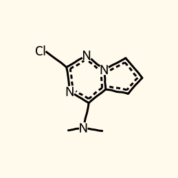 CN(C)c1nc(Cl)nn2cccc12